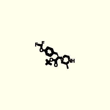 C[C@H]1CN([C@@H](Cc2ccc(OC(F)F)cc2)C(=O)OC(C)(C)C)CCN1